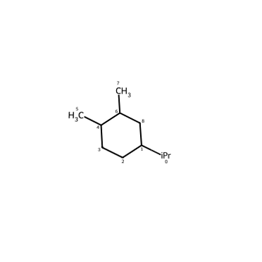 CC(C)C1CCC(C)C(C)C1